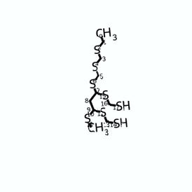 CCSCSCSC(CC(SC)SCS)SCS